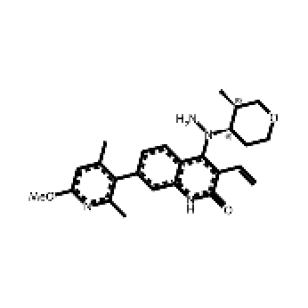 C=Cc1c(N(N)[C@@H]2CCOC[C@@H]2C)c2ccc(-c3c(C)cc(OC)nc3C)cc2[nH]c1=O